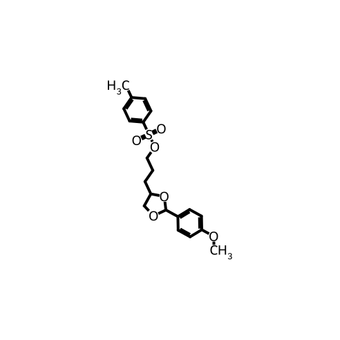 COc1ccc(C2OCC(CCCOS(=O)(=O)c3ccc(C)cc3)O2)cc1